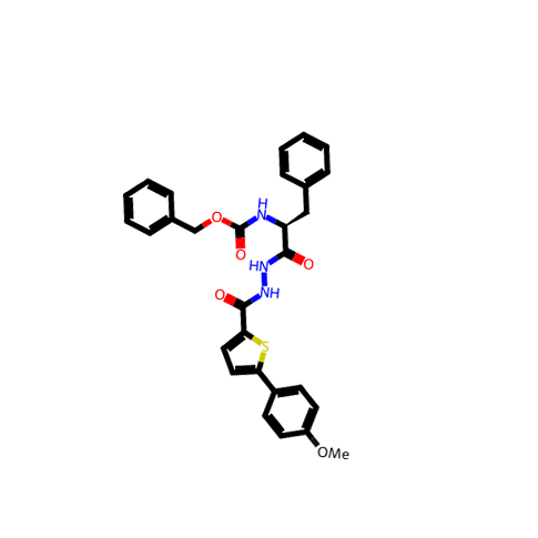 COc1ccc(-c2ccc(C(=O)NNC(=O)[C@H](Cc3ccccc3)NC(=O)OCc3ccccc3)s2)cc1